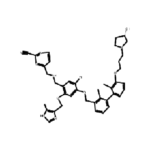 Cc1[nH]cnc1COc1cc(OCc2cccc(-c3cccc(OCCCN4CC[C@H](O)C4)c3C)c2C)c(Cl)cc1CNCc1ccnc(C#N)n1